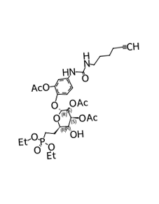 C#CCCCCNC(=O)Nc1ccc(O[C@H]2O[C@H](CCP(=O)(OCC)OCC)[C@@H](O)[C@H](OC(C)=O)[C@@H]2OC(C)=O)c(OC(C)=O)c1